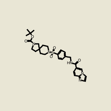 CC(C)(C)OC(=O)N1CCC2(CCN(S(=O)(=O)c3ccc(CNC(=O)c4ccc5nccn5c4)cc3)CC2)C1